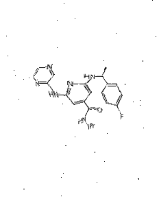 CC(C)NC(=O)c1cc(Nc2cnccn2)nc(N[C@@H](C)c2ccc(F)cc2)c1